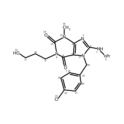 CCCNc1nc2c(c(=O)n(CCCO)c(=O)n2C)n1Cc1ccc(Cl)cc1